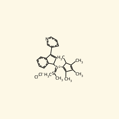 CC1=C(C)C(C)[C]([Zr+2]([CH]2C=C(c3cccnc3)c3ccccc32)=[Si](C)C)=C1C.[Cl-].[Cl-]